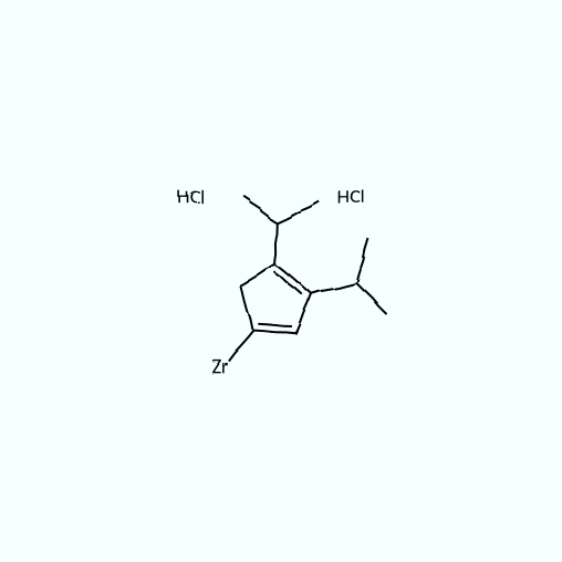 CC(C)C1=C(C(C)C)C[C]([Zr])=C1.Cl.Cl